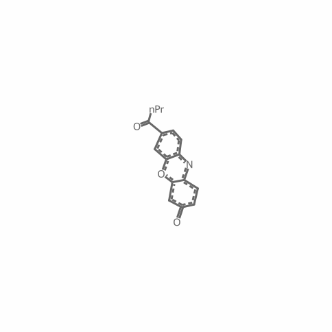 CCCC(=O)c1ccc2nc3ccc(=O)cc-3oc2c1